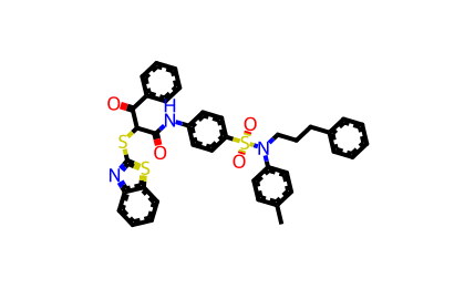 Cc1ccc(N(CCCc2ccccc2)S(=O)(=O)c2ccc(NC(=O)C(Sc3nc4ccccc4s3)C(=O)c3ccccc3)cc2)cc1